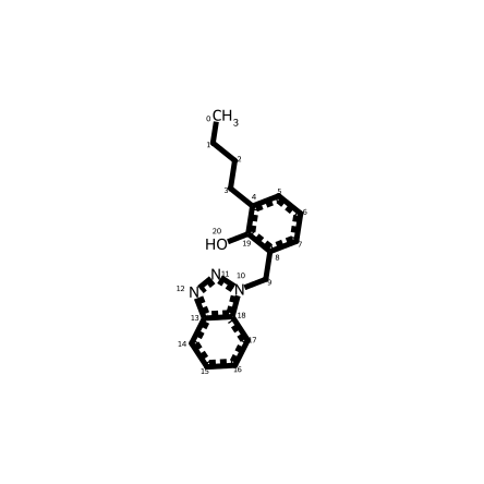 CCCCc1cccc(Cn2nnc3ccccc32)c1O